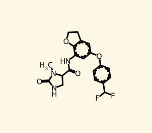 CN1C(=O)NCC1C(=O)Nc1cc(Oc2ccc(C(F)F)cc2)cc2c1OCC2